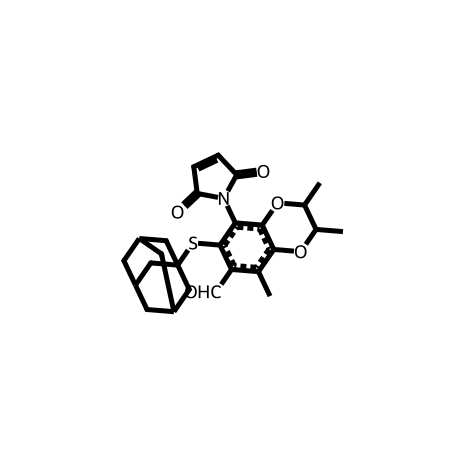 Cc1c(C=O)c(SC23CC4CC(CC(C4)C2)C3)c(N2C(=O)C=CC2=O)c2c1OC(C)C(C)O2